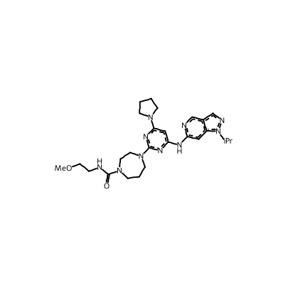 COCCNC(=O)N1CCCN(c2nc(Nc3cc4c(cn3)cnn4C(C)C)cc(N3CCCC3)n2)CC1